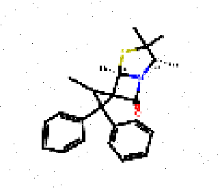 CC1C(c2ccccc2)(c2ccccc2)C12C(=O)N1[C@@H](C)C(C)(C)S[C@@H]12